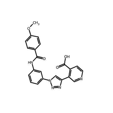 COc1ccc(C(=O)Nc2cccc(-n3cc(-c4cnccc4C(=O)O)nn3)c2)cc1